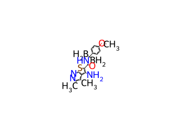 BC(B)(NC(=O)c1sc2nnc(C)c(C)c2c1N)c1ccc(OC)cc1